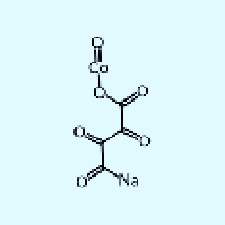 [O]=[Co][O]C(=O)C(=O)C(=O)[C](=O)[Na]